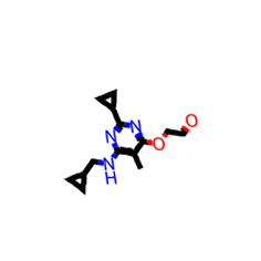 Cc1c(NCC2CC2)nc(C2CC2)nc1OCC=O